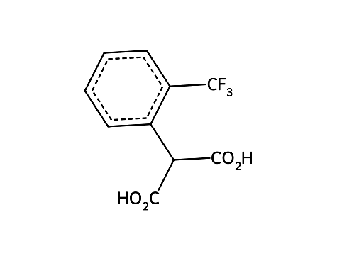 O=C(O)C(C(=O)O)c1ccccc1C(F)(F)F